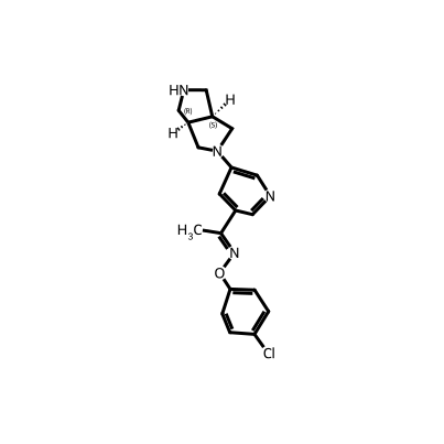 CC(=NOc1ccc(Cl)cc1)c1cncc(N2C[C@H]3CNC[C@H]3C2)c1